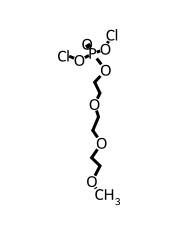 COCCOCCOCCOP(=O)(OCl)OCl